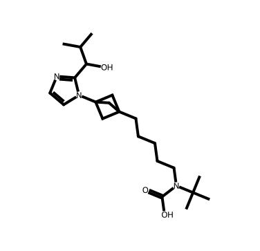 CC(C)C(O)c1nccn1C12CC(CCCCCN(C(=O)O)C(C)(C)C)(C1)C2